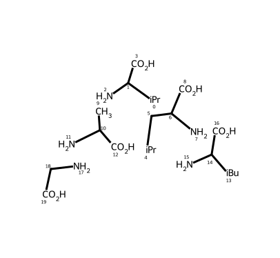 CC(C)C(N)C(=O)O.CC(C)CC(N)C(=O)O.CC(N)C(=O)O.CCC(C)C(N)C(=O)O.NCC(=O)O